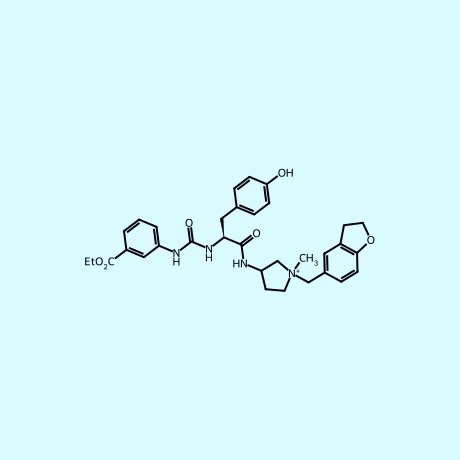 CCOC(=O)c1cccc(NC(=O)N[C@@H](Cc2ccc(O)cc2)C(=O)NC2CC[N+](C)(Cc3ccc4c(c3)CCO4)C2)c1